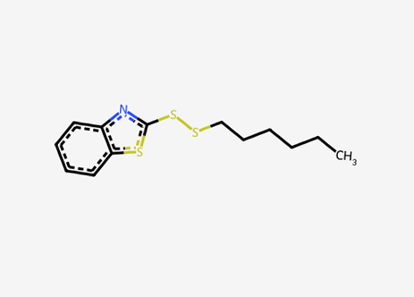 CCCCCCSSc1nc2ccccc2s1